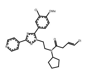 CC/C=C/CC(=O)N(CCn1nc(-c2ccncc2)nc1-c1ccc(OC)c(Cl)c1)C1CCCC1